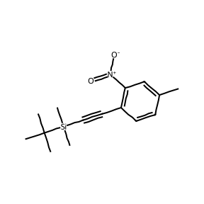 Cc1ccc(C#C[Si](C)(C)C(C)(C)C)c([N+](=O)[O-])c1